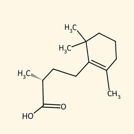 CC1=C(CC[C@@H](C)C(=O)O)C(C)(C)CCC1